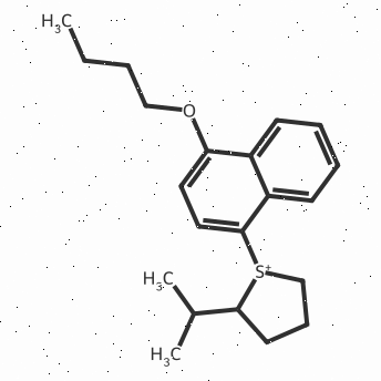 CCCCOc1ccc([S+]2CCCC2C(C)C)c2ccccc12